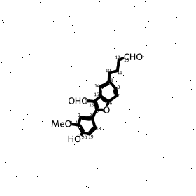 COc1cc(-c2oc3ccc(CCC[C]=O)cc3c2C=O)ccc1O